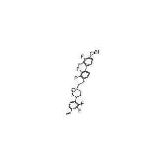 C=Cc1ccc(C2CCC(CCc3ccc(-c4ccc(OCC)c(F)c4F)c(F)c3F)OC2)c(F)c1F